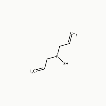 C=CCP(S)CC=C